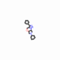 c1ccc(-c2nnn3c2COC2CN(c4ccccc4)CC23)cc1